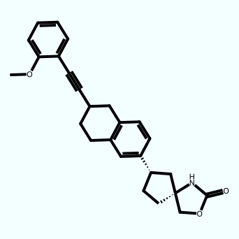 COc1ccccc1C#CC1CCc2cc([C@H]3CC[C@]4(COC(=O)N4)C3)ccc2C1